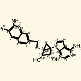 CC(C)c1cc2ccc(CC[C@]34C[C@]3(n3ccc5c(N)ncnc53)[C@H](O)[C@@H]4O)cc2nc1N